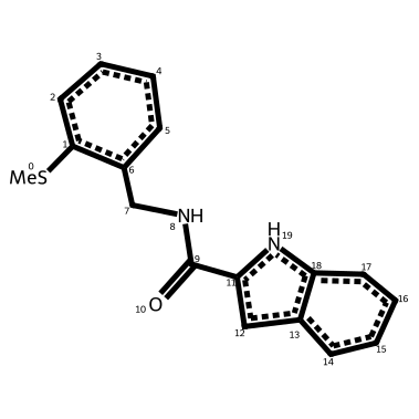 CSc1ccccc1CNC(=O)c1cc2ccccc2[nH]1